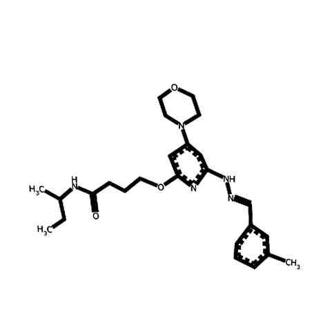 CCC(C)NC(=O)CCCOc1cc(N2CCOCC2)cc(NN=Cc2cccc(C)c2)n1